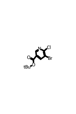 CC(C)(C)OC(=O)c1cnc(Cl)c(Br)c1